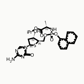 CC(C)OC(=O)[C@H](C)NP(=O)(OC[C@H]1S[C@@H](n2cnc(N)nc2=O)C[C@@H]1O)Oc1cccc2ccccc12